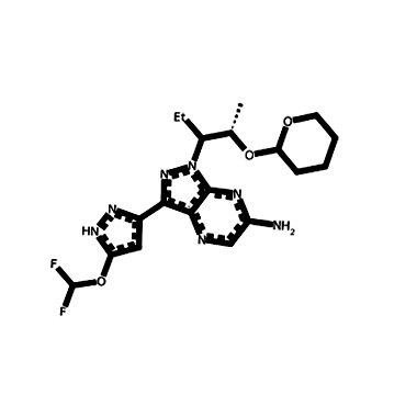 CCC([C@H](C)OC1CCCCO1)n1nc(-c2cc(OC(F)F)[nH]n2)c2ncc(N)nc21